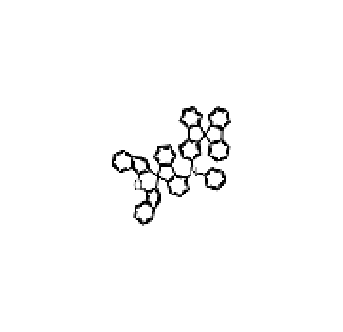 c1ccc(N(c2ccc3c(c2)C2(c4ccccc4-c4ccccc42)c2ccccc2-3)c2cccc3c2-c2ccccc2C32c3ccc4ccccc4c3Oc3c2ccc2ccccc32)cc1